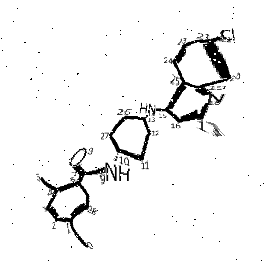 Cc1ccc(C)c(C(=O)N[C@H]2CC[C@@H](Nc3ccnc4cc(Cl)ccc34)CC2)c1